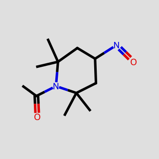 CC(=O)N1C(C)(C)CC(N=O)CC1(C)C